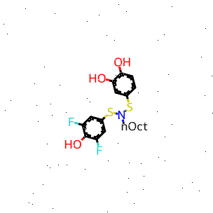 CCCCCCCCN(Sc1ccc(O)c(O)c1)Sc1cc(F)c(O)c(F)c1